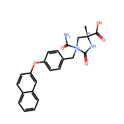 C[C@]1(C(=O)O)C[N+](Cc2ccc(Oc3ccc4ccccc4c3)cc2)(C(N)=O)C(=O)N1